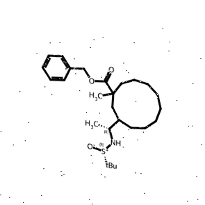 C[C@@H](N[S@@+]([O-])C(C)(C)C)C1CCCCCCCCC(C)(C(=O)OCc2ccccc2)C1